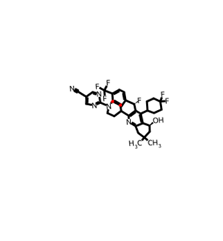 CC1(C)Cc2nc(C3CCN(c4ncc(C#N)cn4)CC3)c([C@@H](F)c3ccc(C(F)(F)F)cc3)c(C3CCC(F)(F)CC3)c2[C@@H](O)C1